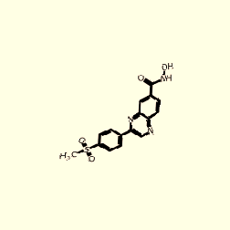 CS(=O)(=O)c1ccc(-c2cnc3ccc(C(=O)NO)cc3n2)cc1